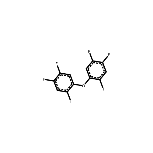 Fc1cc(I)c(Oc2cc(F)c(F)cc2I)cc1F